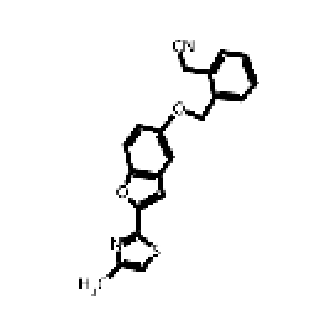 Cc1csc(-c2cc3cc(OCc4ccccc4CC#N)ccc3o2)n1